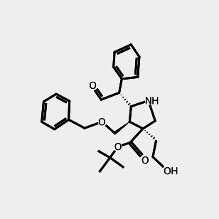 CC(C)(C)OC(=O)[C@]1(CCO)CNC([C@H](C=O)c2ccccc2)[C@@H]1COCc1ccccc1